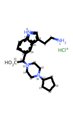 Cl.NCCc1c[nH]c2ccc(C(C(=O)O)N3CCN(C4CCCC4)CC3)cc12